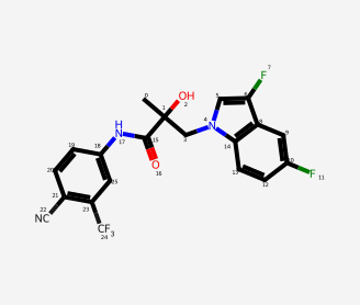 CC(O)(Cn1cc(F)c2cc(F)ccc21)C(=O)Nc1ccc(C#N)c(C(F)(F)F)c1